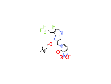 C[Si](C)(C)CCOCn1c(Cn2cccc([N+](=O)[O-])c2=O)cc2ncc(F)c(CCC(F)(F)F)c21